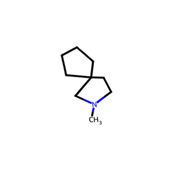 CN1CCC2(CCCC2)C1